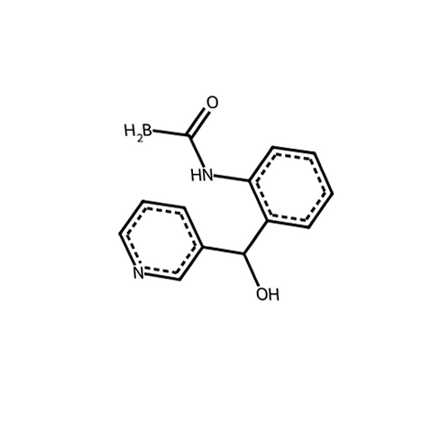 BC(=O)Nc1ccccc1C(O)c1cccnc1